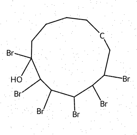 OC1(Br)CCCCCCC(Br)C(Br)C(Br)C(Br)C1Br